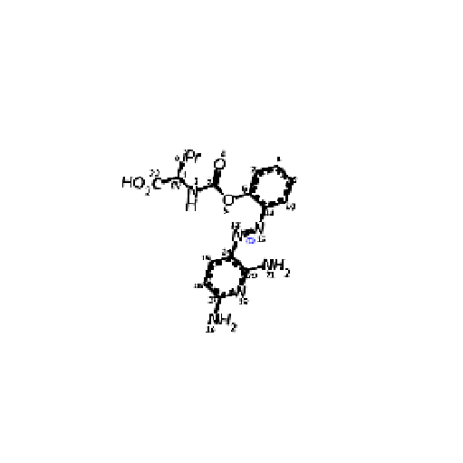 CC(C)[C@@H](NC(=O)Oc1ccccc1/N=N/c1ccc(N)nc1N)C(=O)O